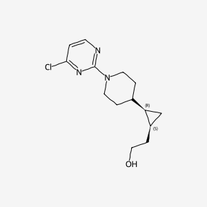 OCC[C@@H]1C[C@@H]1C1CCN(c2nccc(Cl)n2)CC1